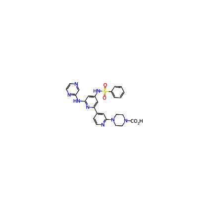 O=C(O)N1CCN(c2cc(-c3cc(NS(=O)(=O)c4ccccc4)cc(Nc4cnccn4)n3)ccn2)CC1